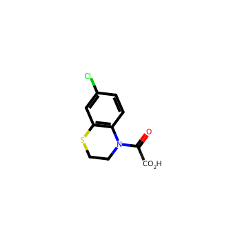 O=C(O)C(=O)N1CCSc2cc(Cl)ccc21